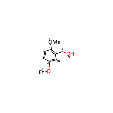 CCOc1ccc(OC)c(CO)c1